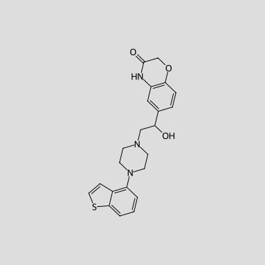 O=C1COc2ccc(C(O)CN3CCN(c4cccc5sccc45)CC3)cc2N1